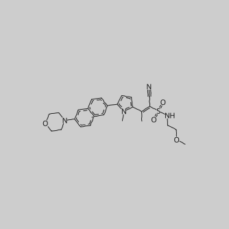 COCCNS(=O)(=O)/C(C#N)=C(\C)c1ccc(-c2ccc3cc(N4CCOCC4)ccc3c2)n1C